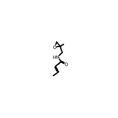 C/C=C/C(=O)NCC1(C)CO1